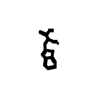 NC(Cc1nc2ccccc2o1)C(=O)O